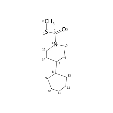 CSC(=O)N1CCC(C2CCCCC2)CC1